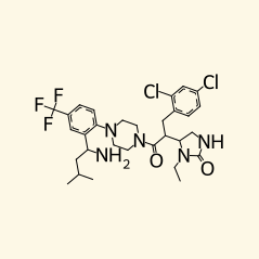 CCN1C(=O)NCC1C(Cc1ccc(Cl)cc1Cl)C(=O)N1CCN(c2ccc(C(F)(F)F)cc2C(N)CC(C)C)CC1